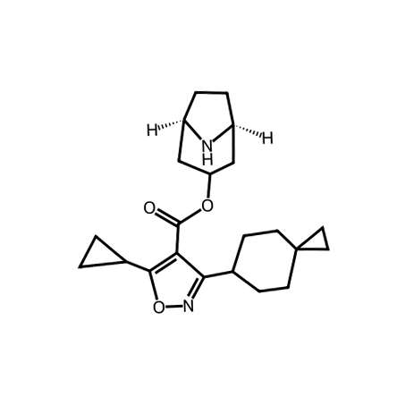 O=C(OC1C[C@H]2CC[C@@H](C1)N2)c1c(C2CCC3(CC2)CC3)noc1C1CC1